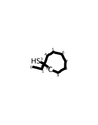 CCC1(S)CCCCCCC1